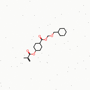 C=C(C)C(=O)OC1CCC(C(=O)OCOCC2CCCCC2)CC1